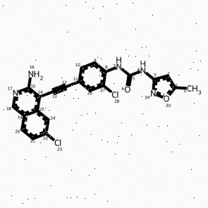 Cc1cc(NC(=O)Nc2ccc(C#Cc3c(N)ncc4ccc(Cl)cc34)cc2Cl)no1